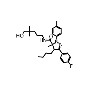 CCCCC1C(c2ccc(F)cc2)=NN(c2ccc(C)cc2)C1(C)C(=O)NCCCC(C)(C)CO